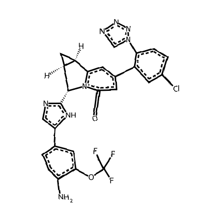 Nc1ccc(-c2cnc([C@@H]3[C@H]4C[C@H]4c4cc(-c5cc(Cl)ccc5-n5cnnn5)cc(=O)n43)[nH]2)cc1OC(F)(F)F